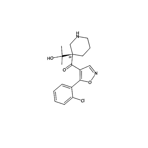 CC(C)(O)[C@]1(C(=O)c2cnoc2-c2ccccc2Cl)CCCNC1